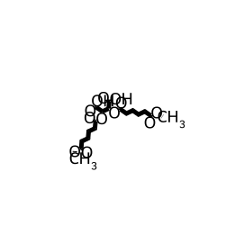 COC(=O)CCCCC(=O)OC(C(=O)O)C(OC(=O)CCCCC(=O)OC)C(=O)O